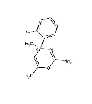 CC1=C[C@@](C)(c2ccccc2F)N=C(N)O1